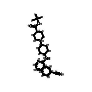 CC(C)(C)OC(=O)N1CCN(C2CCC(Nc3ncnc4ccc(C#N)cc34)CC2)CC1